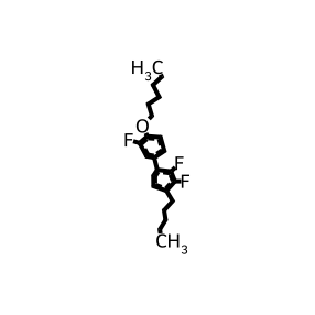 CCCCCCOc1ccc(-c2ccc(CCCCC)c(F)c2F)cc1F